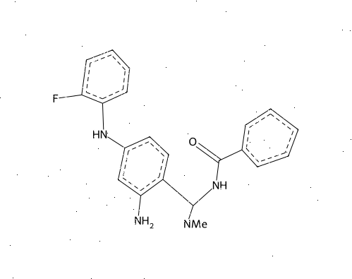 CNC(NC(=O)c1ccccc1)c1ccc(Nc2ccccc2F)cc1N